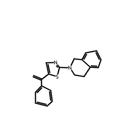 C=C(c1ccccc1)c1cnc(N2CCc3ccccc3C2)s1